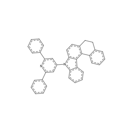 c1ccc(-c2cc(-n3c4ccccc4c4c5c(ccc43)CCc3ccccc3-5)cc(-c3ccccc3)n2)cc1